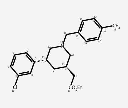 CCOC(=O)C[C@H]1C[C@H](c2cccc(Cl)c2)CN(Cc2ccc(C(F)(F)F)cc2)C1